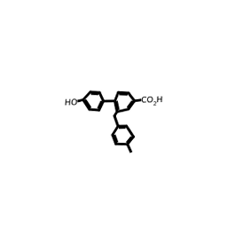 Cc1ccc(Cc2cc(C(=O)O)ccc2-c2ccc(O)cc2)cc1